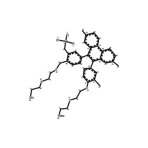 CC[N+](CC)(CC)Cc1cc(-c2c(-c3ccc(OCCOCCOC)c(C)c3)c3cc(C)ccc3c3ccc(C)cc23)ccc1COCCOCCO